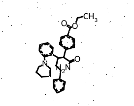 CCOC(=O)c1ccc(C(C(N)=O)C(CCc2ccccc2)c2ccccc2N2CCCCC2)cc1